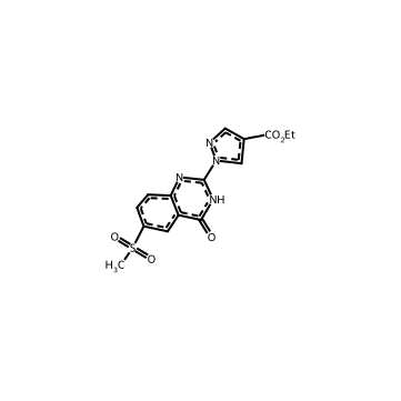 CCOC(=O)c1cnn(-c2nc3ccc(S(C)(=O)=O)cc3c(=O)[nH]2)c1